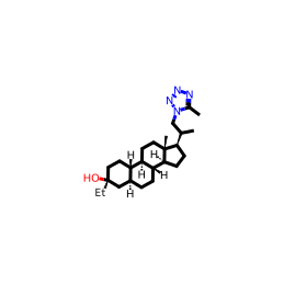 CC[C@@]1(O)CC[C@H]2[C@@H](CC[C@@H]3[C@@H]2CC[C@]2(C)[C@@H](C(C)Cn4nnnc4C)CC[C@@H]32)C1